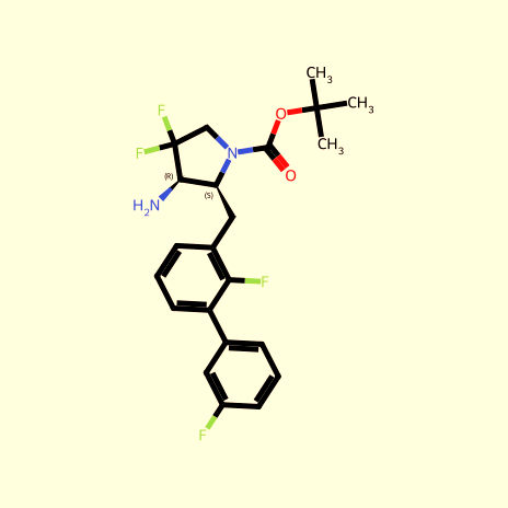 CC(C)(C)OC(=O)N1CC(F)(F)[C@H](N)[C@@H]1Cc1cccc(-c2cccc(F)c2)c1F